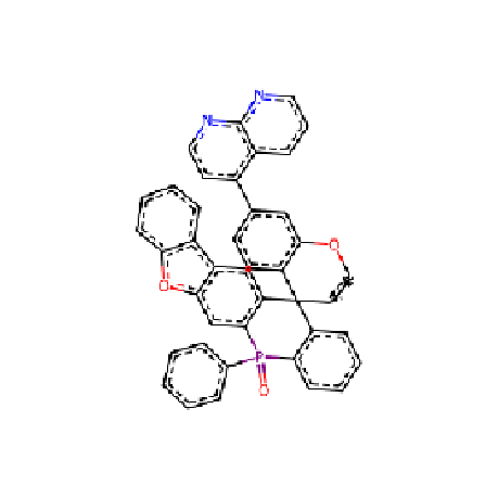 O=P1(c2ccccc2)c2ccccc2C2(c3ccccc3Oc3cc(-c4ccnc5ncccc45)ccc32)c2cc3c(cc21)oc1ccccc13